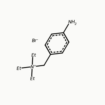 CC[N+](CC)(CC)Cc1ccc(N)cc1.[Br-]